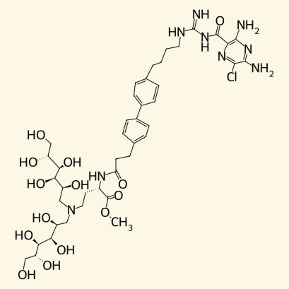 COC(=O)[C@H](CCN(C[C@H](O)[C@@H](O)[C@H](O)[C@H](O)CO)C[C@H](O)[C@@H](O)[C@H](O)[C@H](O)CO)NC(=O)CCc1ccc(-c2ccc(CCCCNC(=N)NC(=O)c3nc(Cl)c(N)nc3N)cc2)cc1